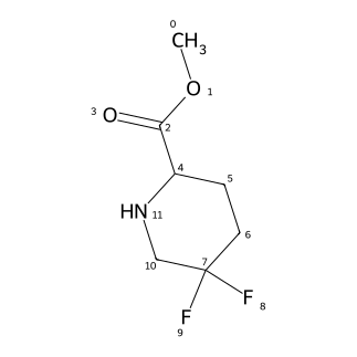 COC(=O)C1CCC(F)(F)CN1